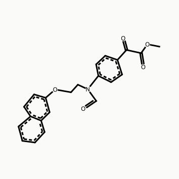 COC(=O)C(=O)c1ccc(N(C=O)CCOc2ccc3ccccc3c2)cc1